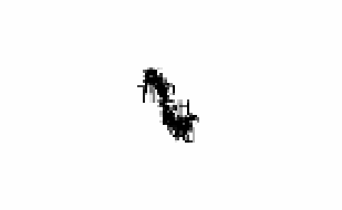 CCc1cc(Cl)c(OC)c(N2CCN(CC(O)CCNC(=O)c3cc4ccccc4[nH]3)C2)c1